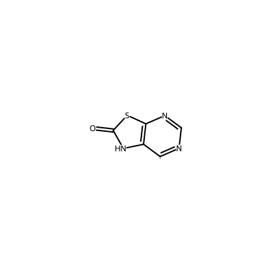 O=c1[nH]c2[c]ncnc2s1